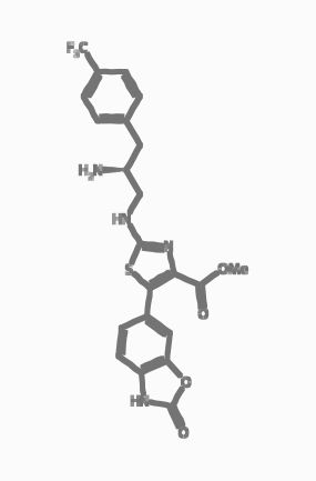 COC(=O)c1nc(NC[C@@H](N)Cc2ccc(C(F)(F)F)cc2)sc1-c1ccc2[nH]c(=O)oc2c1